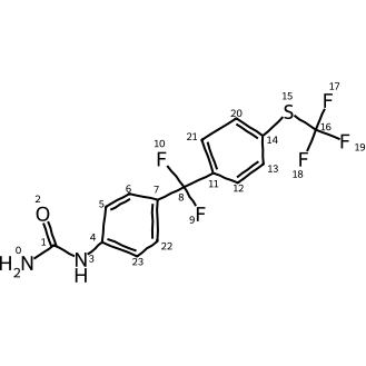 NC(=O)Nc1ccc(C(F)(F)c2ccc(SC(F)(F)F)cc2)cc1